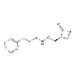 O=C1OC[C@H]1CONCCCc1ccccc1